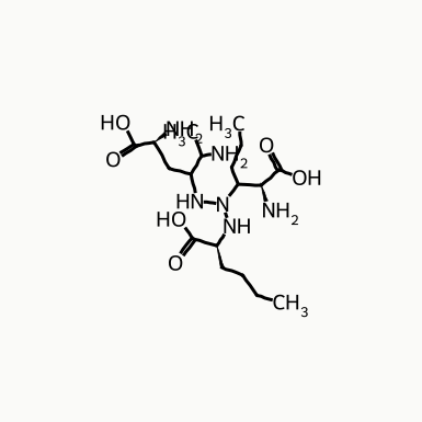 CCCC[C@H](NN(NC(C[C@H](N)C(=O)O)C(C)N)C(CCC)[C@H](N)C(=O)O)C(=O)O